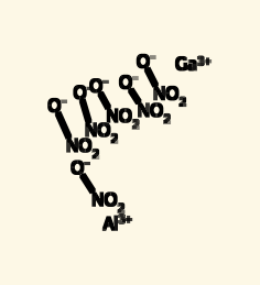 O=[N+]([O-])[O-].O=[N+]([O-])[O-].O=[N+]([O-])[O-].O=[N+]([O-])[O-].O=[N+]([O-])[O-].O=[N+]([O-])[O-].[Al+3].[Ga+3]